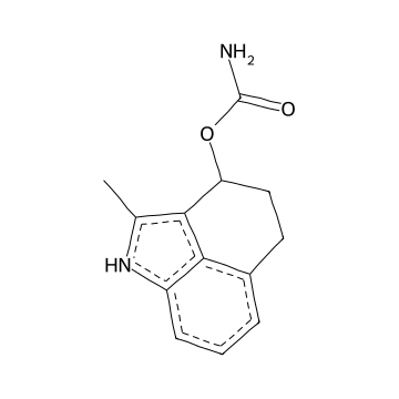 Cc1[nH]c2cccc3c2c1C(OC(N)=O)CC3